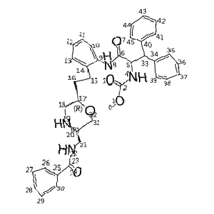 COC(=O)NC(C(=O)Nc1ccccc1CC[C@@H]1CN[C@H](CNC(=O)c2ccccc2)CO1)C(c1ccccc1)c1ccccc1